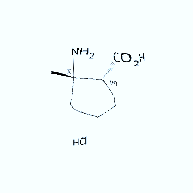 C[C@]1(N)CCC[C@H]1C(=O)O.Cl